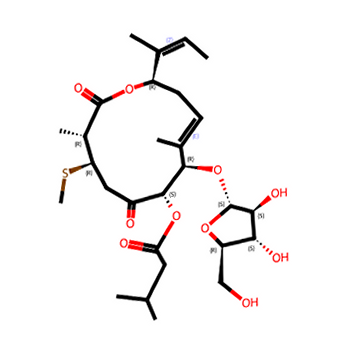 C/C=C(/C)[C@H]1C/C=C(\C)[C@@H](O[C@H]2O[C@H](CO)[C@@H](O)[C@@H]2O)[C@H](OC(=O)CC(C)C)C(=O)C[C@@H](SC)[C@H](C)C(=O)O1